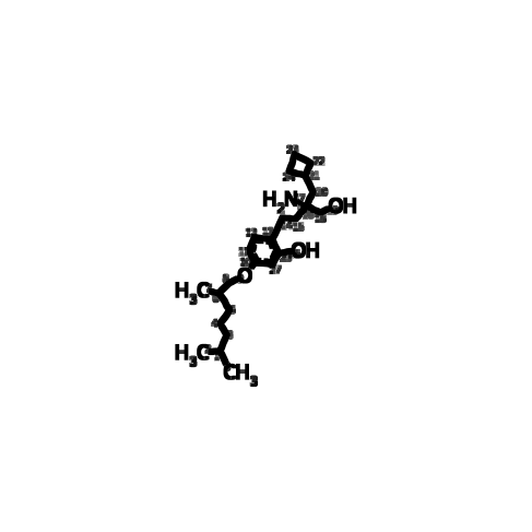 CC(C)CCCC(C)COc1ccc(CC[C@@](N)(CO)CC2CCC2)c(O)c1